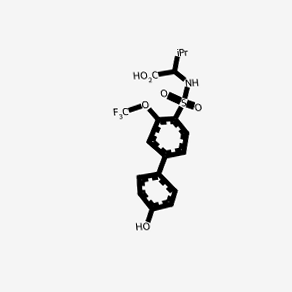 CC(C)C(NS(=O)(=O)c1ccc(-c2ccc(O)cc2)cc1OC(F)(F)F)C(=O)O